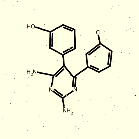 Nc1nc(N)c(-c2cccc(O)c2)c(-c2cccc(Cl)c2)n1